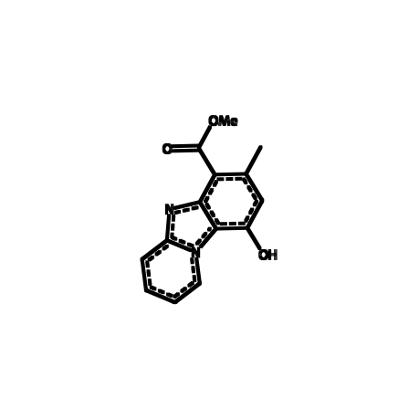 COC(=O)c1c(C)cc(O)c2c1nc1ccccn12